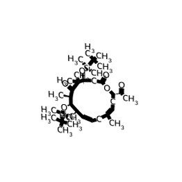 CC(=O)[C@@H]1CC=C(C)CC=C[C@H](C)[C@H](O[Si](C)(C)C(C)(C)C)[C@@H](C)C(=O)C(C)(C)[C@@H](O[Si](C)(C)C(C)(C)C)CC(=O)O1